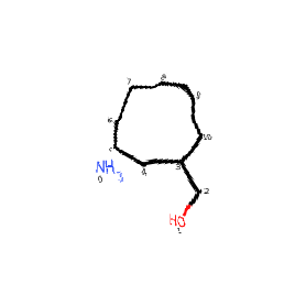 N.OCC1CCCCCCC1